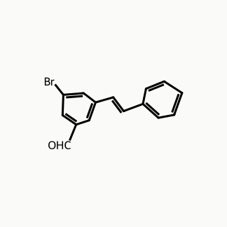 O=Cc1cc(Br)cc(C=Cc2ccccc2)c1